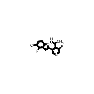 CC(O)c1c(F)cncc1-c1cc2c(F)c(Cl)ccc2o1